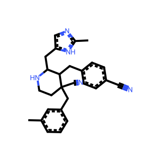 Cc1cccc(CC2(C#N)CCNC(Cc3cnc(C)[nH]3)C2Cc2ccc(C#N)cc2)c1